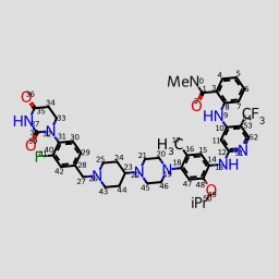 CNC(=O)c1ccccc1Nc1cc(Nc2cc(C)c(N3CCN(C4CCN(Cc5ccc(N6CCC(=O)NC6=O)c(F)c5)CC4)CC3)cc2OC(C)C)ncc1C(F)(F)F